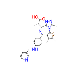 Cc1sc2c(c1C)C(c1ccc(NCc3cccnc3)cc1)=NC([C@H](C)C(=O)O)c1nnc(C)n1-2